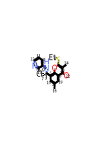 CCSc1oc2c([C@@H](C)Nc3cccnc3C(F)(F)F)cc(C)cc2c(=O)c1C